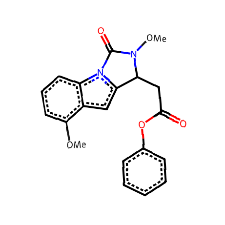 COc1cccc2c1cc1n2C(=O)N(OC)C1CC(=O)Oc1ccccc1